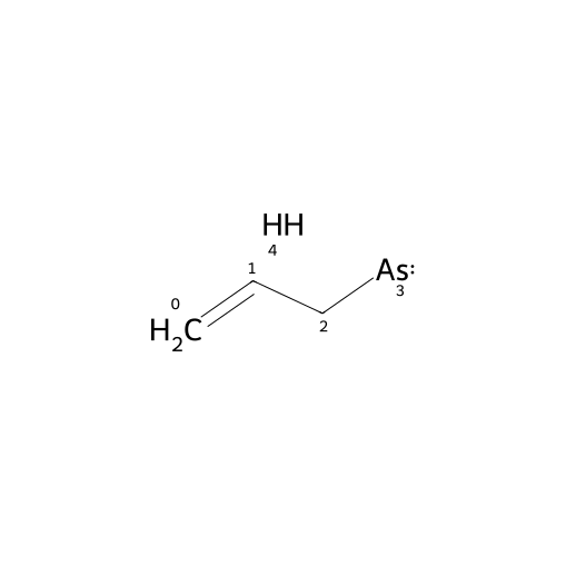 C=CC[As].[HH]